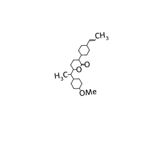 C/C=C/C1CCC(C2CCC(C(C)C3CCC(OC)CC3)OC2=O)CC1